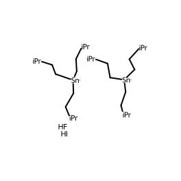 CC(C)C[CH2][Sn]([CH2]CC(C)C)[CH2]CC(C)C.CC(C)C[CH2][Sn]([CH2]CC(C)C)[CH2]CC(C)C.F.I